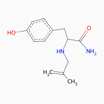 C=C(C)CNC(Cc1ccc(O)cc1)C(N)=O